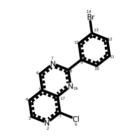 Clc1nccc2cnc(-c3cccc(Br)c3)nc12